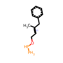 C/C(=C\COPP)Cc1ccccc1